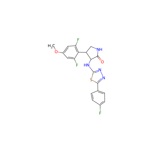 COc1cc(F)c(C2CNC(=O)C2Nc2nnc(-c3ccc(F)cc3)s2)c(F)c1